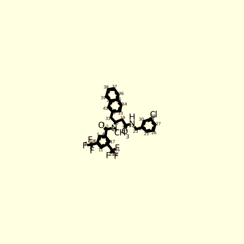 CN(C(=O)c1cc(C(F)(F)F)cc(C(F)(F)F)c1)C(CC(=O)NCc1cccc(Cl)c1)Cc1ccc2ccccc2c1